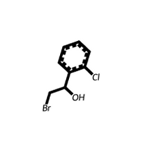 OC(CBr)c1ccccc1Cl